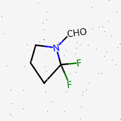 O=CN1CCCC1(F)F